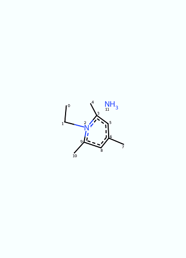 CC[n+]1c(C)cc(C)cc1C.N